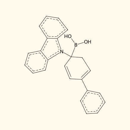 OB(O)C1(n2c3ccccc3c3ccccc32)C=CC(c2ccccc2)=CC1